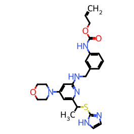 C=CCOC(=O)Nc1cccc(CNc2cc(N3CCOCC3)cc(C(C)Sc3ncc[nH]3)n2)c1